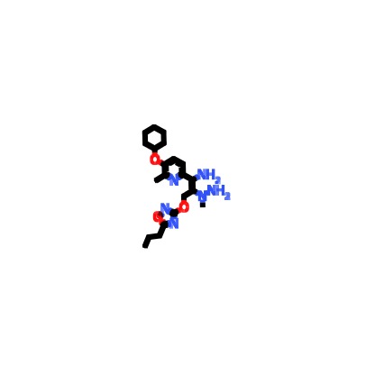 CCCc1nc(OC/C(=C(/N)c2ccc(OC3CCCCC3)c(C)n2)N(C)N)no1